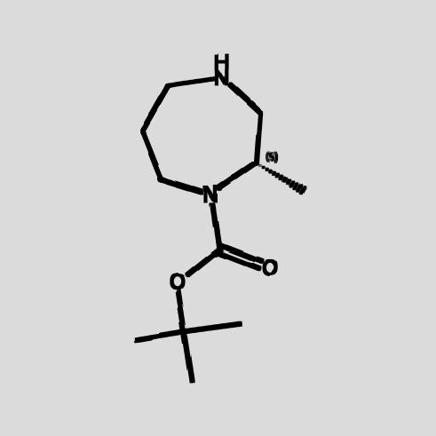 C[C@H]1CNCCCN1C(=O)OC(C)(C)C